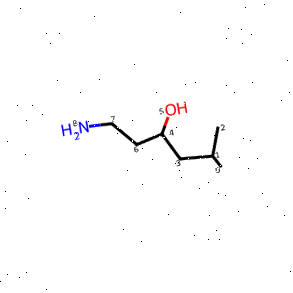 CC(C)CC(O)CCN